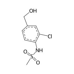 CS(=O)(=O)Nc1ccc(CO)cc1Cl